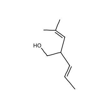 CC=CC(C=C(C)C)CO